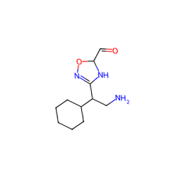 NCC(C1=NOC(C=O)N1)C1CCCCC1